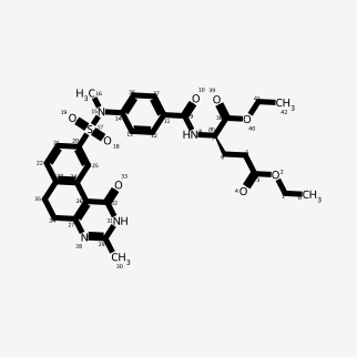 CCOC(=O)CC[C@@H](NC(=O)c1ccc(N(C)S(=O)(=O)c2ccc3c(c2)-c2c(nc(C)[nH]c2=O)CC3)cc1)C(=O)OCC